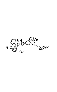 CCCCCCCCCCCCCCOc1ccc(OCC(=O)Nc2ccccc2C[n+]2ccsc2C)cc1OC.[Br-]